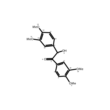 COc1ccc(C(=O)C(O)c2ccc(OC)c(OC)c2)cc1OC